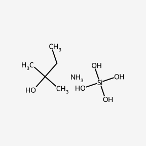 CCC(C)(C)O.N.O[Si](O)(O)O